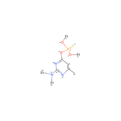 CCOP(=S)(OCC)Oc1cc(C)nc(N(CC)CC)n1